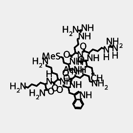 C#CCC(NC(C)=O)C(=O)NC(CCCNC(=N)N)C(=O)NC(CCCNC(=N)N)C(=O)NC(CCSC)C(=O)NC(CCCCN)C(=O)NC(Cc1c[nH]c2ccccc12)C(=O)NC(CCCCN)C(=O)NC(CCCCN)C(N)=O